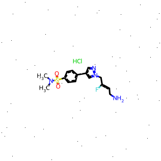 CN(C)S(=O)(=O)c1ccc(-c2cnn(CC(F)=CCN)c2)cc1.Cl